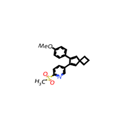 COc1ccc(C2=CC3(C=C2c2ccc(S(C)(=O)=O)nc2)CCC3)cc1